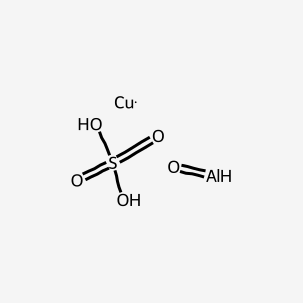 O=S(=O)(O)O.[Cu].[O]=[AlH]